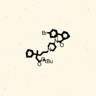 CC(C)(C)OC(=O)CC(C)(CCCN1CCC(NC(=O)c2ccccc2-c2ccc(Br)cc2)CC1)c1ccccc1